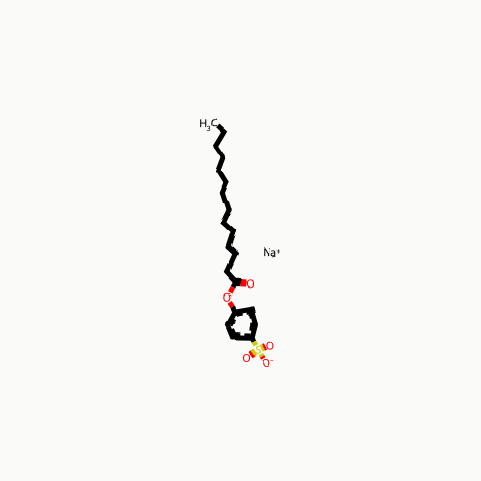 CCCCCCCCCCCCCC(=O)Oc1ccc(S(=O)(=O)[O-])cc1.[Na+]